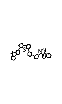 CC1(C)c2ccccc2-c2ccc(-c3cccc4c3sc3c(-c5cccc(-c6cccc(-c7ncnc8c7oc7ccccc78)c6)c5)cccc34)cc21